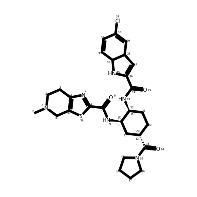 CN1CCc2nc(C(=O)N[C@@H]3C[C@@H](C(=O)N4CCCC4)CC[C@@H]3NC(=O)C3=CC4C=C(Cl)C=CC4N3)sc2C1